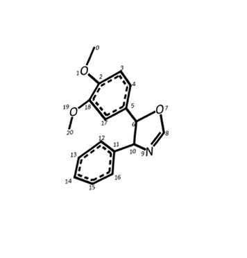 COc1ccc(C2OC=NC2c2ccccc2)cc1OC